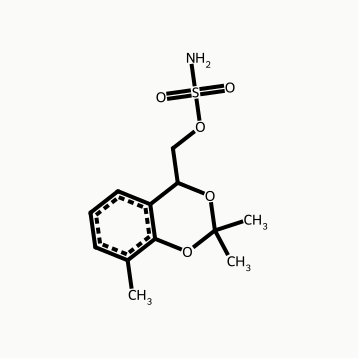 Cc1cccc2c1OC(C)(C)OC2COS(N)(=O)=O